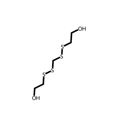 OCCSSCSSCCO